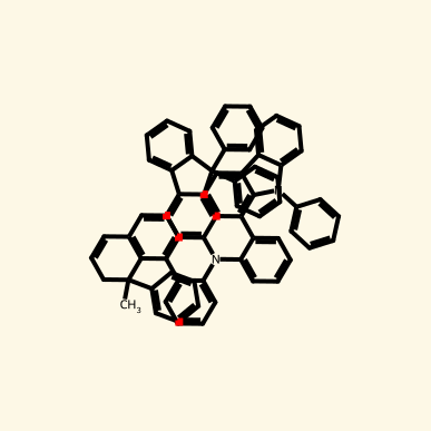 CC1(c2ccccc2)CC=Cc2cccc(-c3ccccc3N(c3ccc4c(c3)C(c3ccccc3)(c3ccccc3)c3ccccc3-4)c3ccccc3-c3cccc4c5ccccc5n(-c5ccccc5)c34)c21